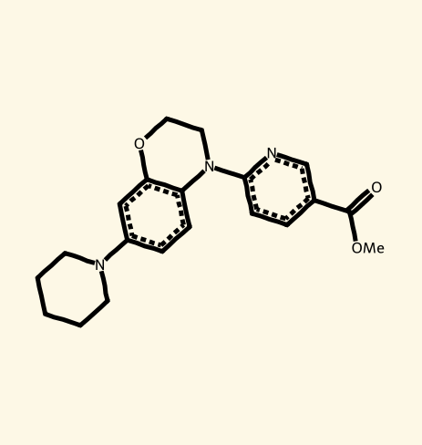 COC(=O)c1ccc(N2CCOc3cc(N4CCCCC4)ccc32)nc1